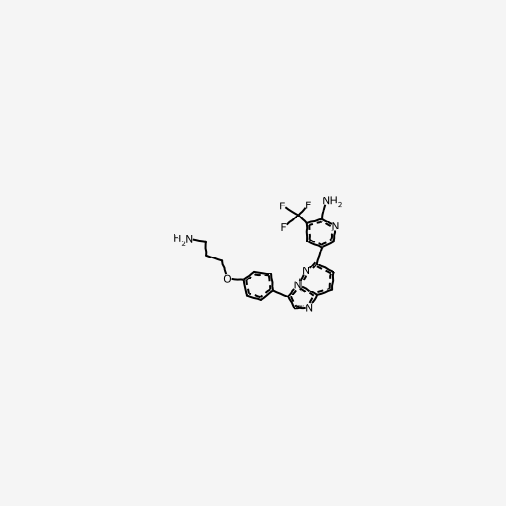 NCCCOc1ccc(-c2cnc3ccc(-c4cnc(N)c(C(F)(F)F)c4)nn23)cc1